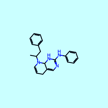 CC(Cc1ccccc1)N1C=CCC2=CN=C(Nc3ccccc3)NC21